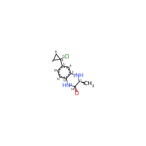 C[C@@H]1Nc2cc(C3(Cl)CC3)ccc2NC1=O